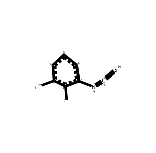 Cc1c(F)cccc1N=C=S